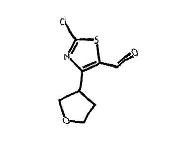 O=Cc1sc(Cl)nc1C1CCOC1